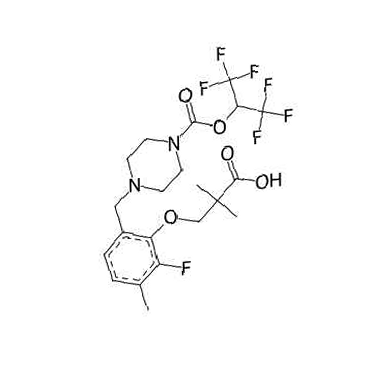 Cc1ccc(CN2CCN(C(=O)OC(C(F)(F)F)C(F)(F)F)CC2)c(OCC(C)(C)C(=O)O)c1F